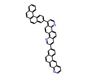 c1cnc2cc3ccc4cc(-c5cnc6c(ccc7c6ccc6c(-c8ccc9c(ccc%10ccc%11ccccc%11c%109)c8)ccnc67)c5)ccc4c3cc2c1